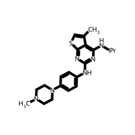 Cc1csc2nc(Nc3ccc(N4CCN(C)CC4)cc3)nc(NC(C)C)c12